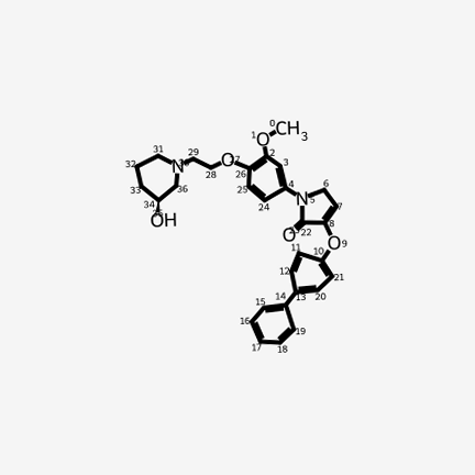 COc1cc(N2CC=C(Oc3ccc(-c4ccccc4)cc3)C2=O)ccc1OCCN1CCC[C@H](O)C1